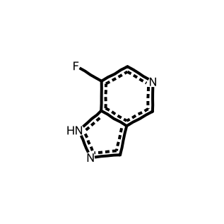 Fc1cncc2cn[nH]c12